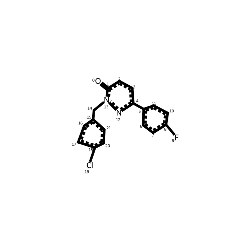 O=c1ccc(-c2ccc(F)cc2)nn1Cc1ccc(Cl)cc1